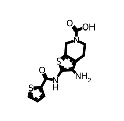 Nc1c(NC(=O)c2cccs2)sc2c1CCN(C(=O)O)C2